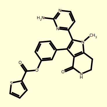 Cn1c2c(c(-c3cccc(OC(=O)c4cccs4)c3)c1-c1ccnc(N)n1)C(=O)NCC2